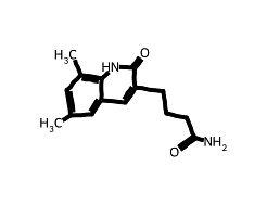 Cc1cc(C)c2[nH]c(=O)c(CCCC(N)=O)cc2c1